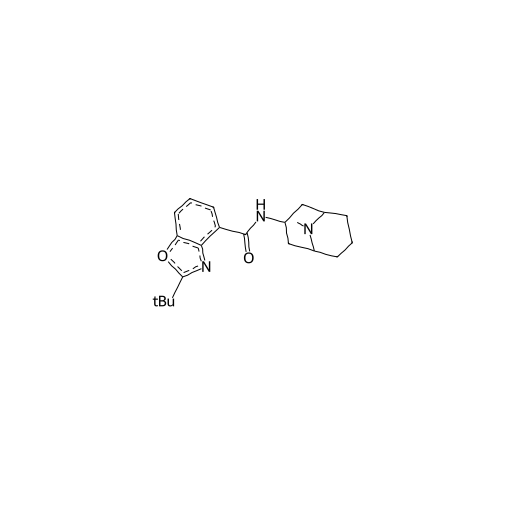 CN1C2CCCC1CC(NC(=O)c1cccc3oc(C(C)(C)C)nc13)C2